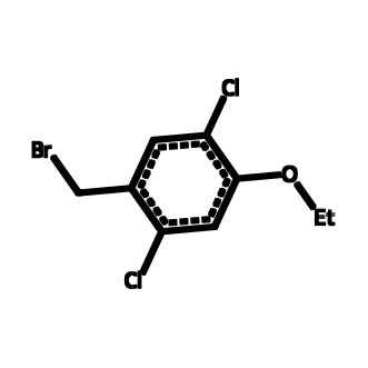 CCOc1cc(Cl)c(CBr)cc1Cl